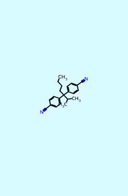 CCCCC(c1ccc(C#N)cc1)(c1ccc(C#N)cc1)C(C)C